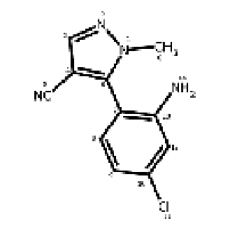 Cn1ncc(C#N)c1-c1ccc(Cl)cc1N